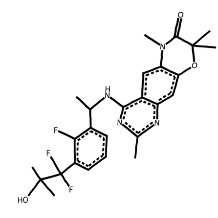 Cc1nc(NC(C)c2cccc(C(F)(F)C(C)(C)O)c2F)c2cc3c(cc2n1)OC(C)(C)C(=O)N3C